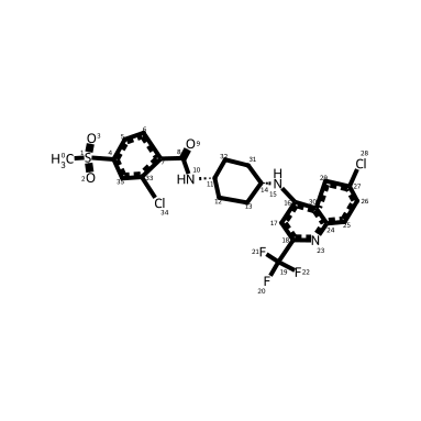 CS(=O)(=O)c1ccc(C(=O)N[C@H]2CC[C@@H](Nc3cc(C(F)(F)F)nc4ccc(Cl)cc34)CC2)c(Cl)c1